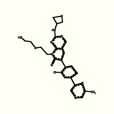 Cc1cncc(-c2ccc(-c3cc4cnc(NC5COC5)nc4n(CCOCCO)c3=O)c(Cl)c2)n1